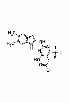 Cc1cc2nc(Nc3nc(O)c(CC(=O)O)c(C(F)(F)F)n3)[nH]c2cc1C